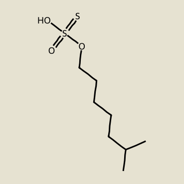 CC(C)CCCCCOS(=O)(O)=S